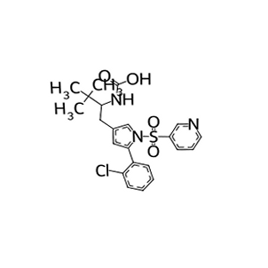 CC(C)(C)C(Cc1cc(-c2ccccc2Cl)n(S(=O)(=O)c2cccnc2)c1)NC(=O)O